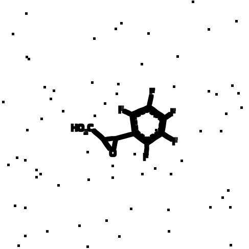 O=C(O)C1OC1c1c(F)c(F)c(F)c(F)c1F